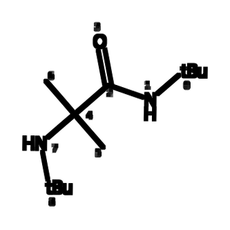 CC(C)(C)NC(=O)C(C)(C)NC(C)(C)C